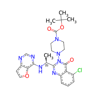 C[C@H](Nc1ncnc2ccoc12)c1nc2cccc(Cl)c2c(=O)n1N1CCN(C(=O)OC(C)(C)C)CC1